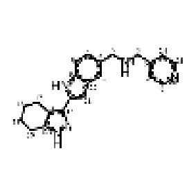 c1cc(CNCc2ccc3[nH]c(-c4n[nH]c5c4CCCC5)cc3c2)ccn1